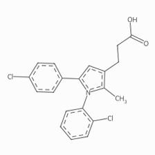 Cc1c(CCC(=O)O)cc(-c2ccc(Cl)cc2)n1-c1ccccc1Cl